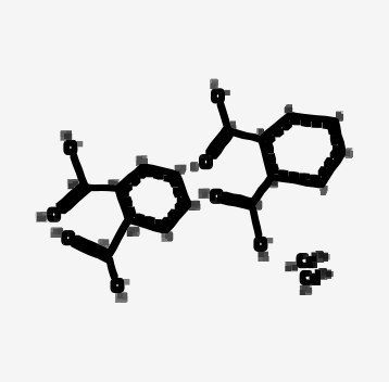 O=C([O-])c1ccccc1C(=O)[O-].O=C([O-])c1ccccc1C(=O)[O-].[Cd+2].[Cd+2]